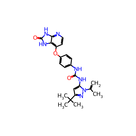 C=C(C)n1nc(C(C)(C)C)cc1NC(=O)Nc1ccc(Oc2ccnc3[nH]c(=O)[nH]c23)cc1